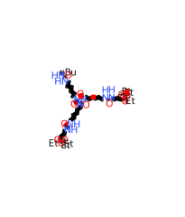 CCCCNC(=O)NCCCCCCn1c(=O)n(CCCCCCNC(=O)NCCC[Si](OCC)(OCC)OCC)c(=O)n(CCCCCCNC(=O)NCCC[Si](OCC)(OCC)OCC)c1=O